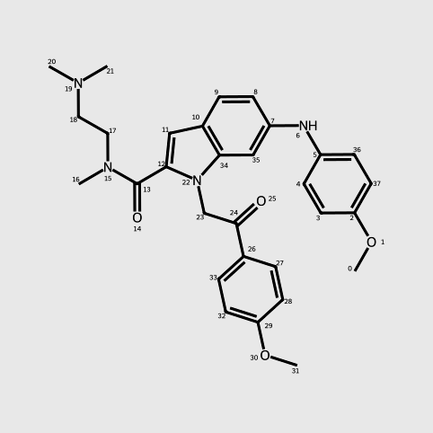 COc1ccc(Nc2ccc3cc(C(=O)N(C)CCN(C)C)n(CC(=O)c4ccc(OC)cc4)c3c2)cc1